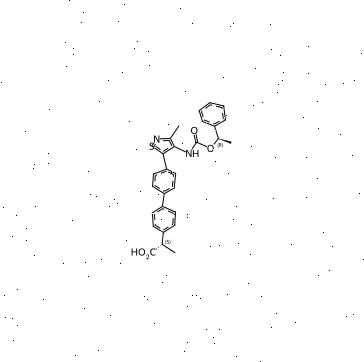 Cc1nsc(-c2ccc(-c3ccc([C@H](C)C(=O)O)cc3)cc2)c1NC(=O)O[C@H](C)c1ccccc1